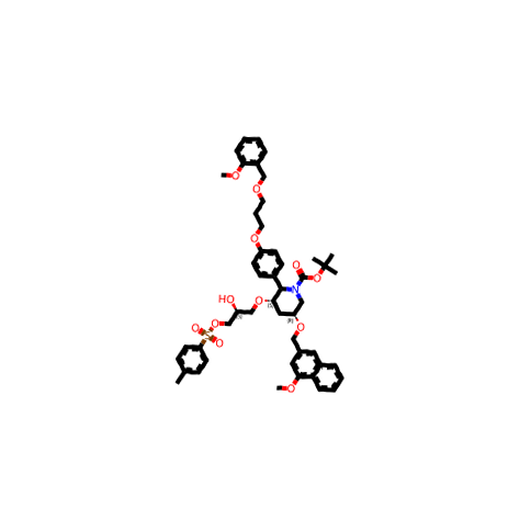 COc1ccccc1COCCCOc1ccc(C2[C@@H](OC[C@H](O)COS(=O)(=O)c3ccc(C)cc3)C[C@@H](OCc3cc(OC)c4ccccc4c3)CN2C(=O)OC(C)(C)C)cc1